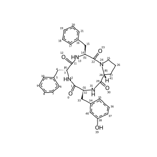 O=C1N[C@H](Cc2ccccc2)C(=O)N[C@@H](Cc2ccccc2)C(=O)N2CCC[C@@H]2C(=O)N[C@H]1Cc1cccc(O)c1